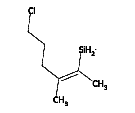 C/C([SiH2])=C(\C)CCCCl